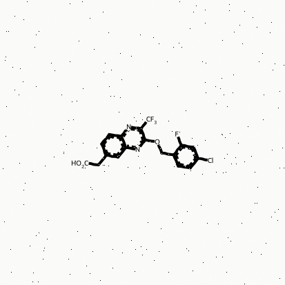 O=C(O)Cc1ccc2nc(C(F)(F)F)c(OCc3ccc(Cl)cc3F)nc2c1